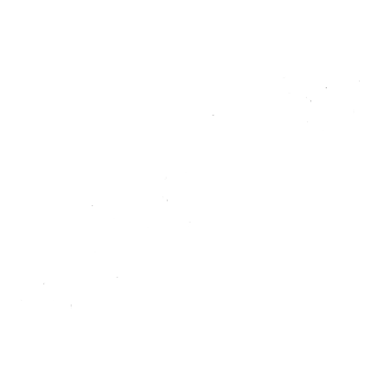 CC(C)(C)c1ccc(-c2ccc(N3C(=O)c4ccc(C(c5ccc6c(c5)C(=O)N(C(C)(C)C)C6=O)C(F)(F)F)cc4C3=O)cc2C(F)(F)F)c(C(F)(F)F)c1